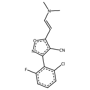 CN(C)/C=C/c1onc(-c2c(F)cccc2Cl)c1C#N